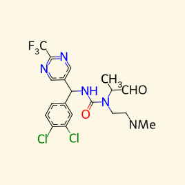 CNCCN(C(=O)NC(c1cnc(C(F)(F)F)nc1)c1ccc(Cl)c(Cl)c1)C(C)C=O